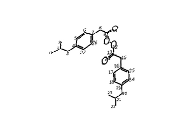 CC(C)Cc1ccc(CC(=O)OOC(=O)Cc2ccc(CC(C)C)cc2)cc1